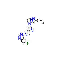 Fc1ccc2ncnc(N3CCc4ncc(N5CCCn6nc(C(F)(F)F)cc65)cc4C3)c2c1